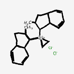 CC1CC2C=CC=CC2[CH]1[Zr+2]1([CH]2C(C)CC3C=CC=CC32)[CH2][CH2]1.[Cl-].[Cl-]